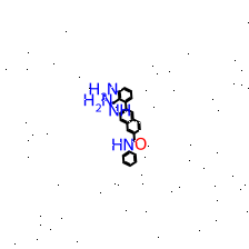 N=C(N)c1c(N)cccc1-c1ccc2cc(C(=O)Nc3ccccc3)ccc2c1